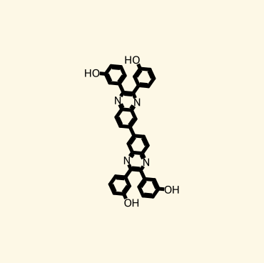 Oc1cccc(-c2nc3ccc(-c4ccc5nc(-c6cccc(O)c6)c(-c6cccc(O)c6)nc5c4)cc3nc2-c2cccc(O)c2)c1